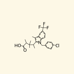 Cc1c(C(C)C(C)(C)C(C)C(=O)O)n(Cc2ccc(Cl)cc2)c2ccc(C(F)(F)F)cc12